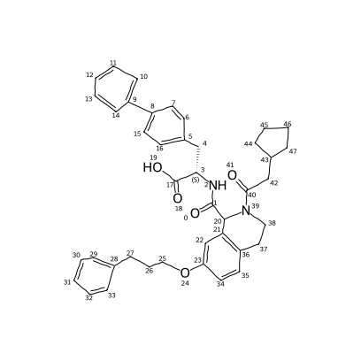 O=C(N[C@@H](Cc1ccc(-c2ccccc2)cc1)C(=O)O)C1c2cc(OCCCc3ccccc3)ccc2CCN1C(=O)CC1CCCC1